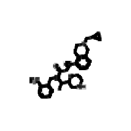 CC(C1CNCCO1)N(Cc1ccccc1C(F)(F)F)C(=O)CNc1cccc2c1CCN(CC1CC1)C2